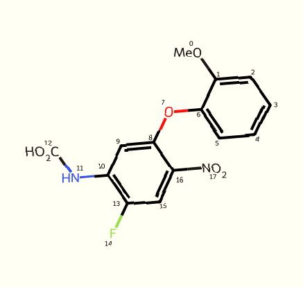 COc1ccccc1Oc1cc(NC(=O)O)c(F)cc1[N+](=O)[O-]